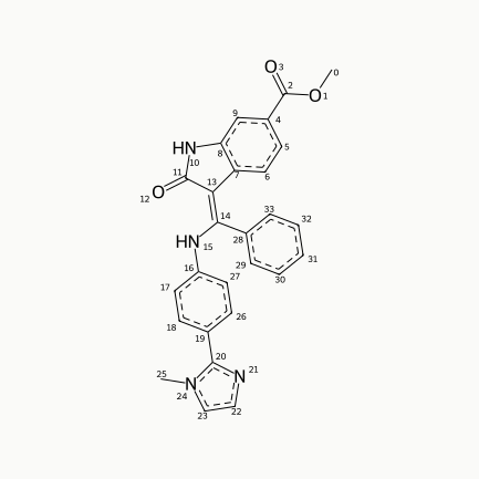 COC(=O)c1ccc2c(c1)NC(=O)/C2=C(\Nc1ccc(-c2nccn2C)cc1)c1ccccc1